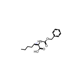 CCCC/C=C(/NC(=O)OCc1ccccc1)C(=O)O